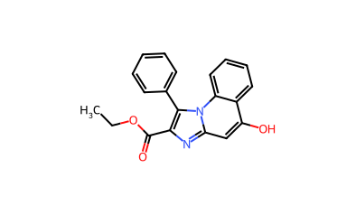 CCOC(=O)c1nc2cc(O)c3ccccc3n2c1-c1ccccc1